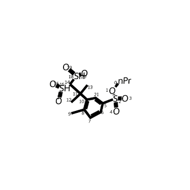 CCCOS(=O)(=O)c1ccc(C)c(C(C)(C)C([SH](=O)=O)[SH](=O)=O)c1